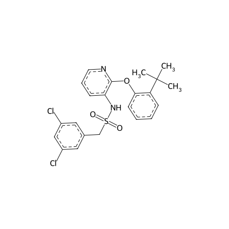 CC(C)(C)c1ccccc1Oc1ncccc1NS(=O)(=O)Cc1cc(Cl)cc(Cl)c1